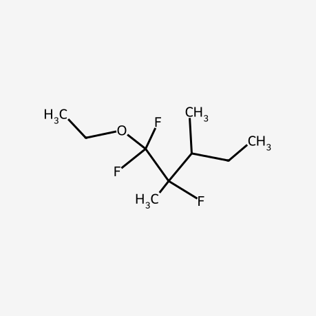 CCOC(F)(F)C(C)(F)C(C)CC